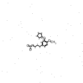 COc1ccc(CCCN=S(=O)=O)cc1OC1CCCC1